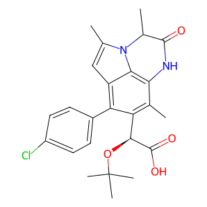 Cc1c([C@H](OC(C)(C)C)C(=O)O)c(-c2ccc(Cl)cc2)c2cc(C)n3c2c1NC(=O)C3C